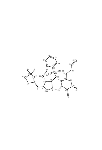 C=C1C(C[C@@H]2O[C@H](C[C@H]3COC(C)(C)O3)[C@H](OC)[C@H]2CS(=O)(=O)c2ccccc2)O[C@@H](CCC=O)C[C@H]1C